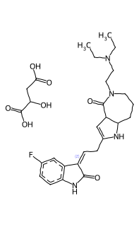 CCN(CC)CCN1CCCC2NC(C/C=C3\C(=O)Nc4ccc(F)cc43)=CC2C1=O.O=C(O)CC(O)C(=O)O